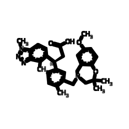 COc1ccc2c(c1)CN(Cc1cc([C@H](CC(=O)O)c3ccc4c(nnn4C)c3C)ccc1C)CC(C)(C)O2